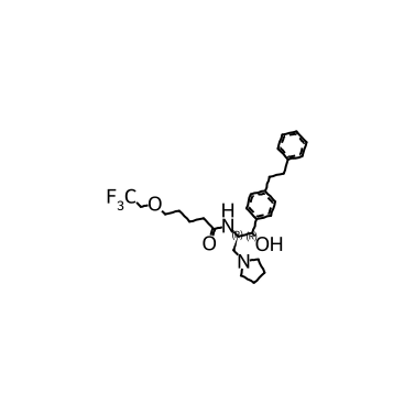 O=C(CCCCOCC(F)(F)F)N[C@H](CN1CCCC1)[C@H](O)c1ccc(CCc2ccccc2)cc1